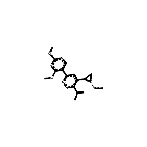 C=C(C)c1nnc(-c2cnc(OC)nc2OC)cc1C1C[C@@H]1CC